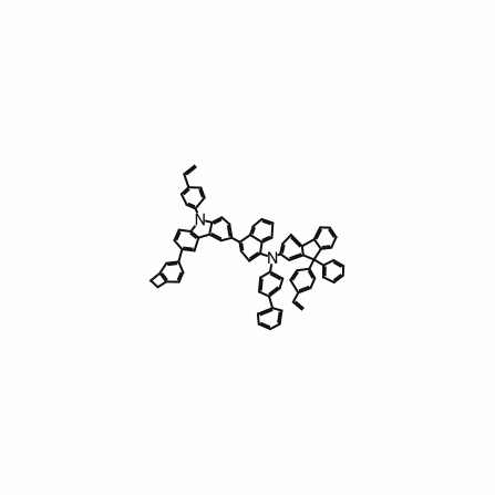 C=Cc1ccc(-n2c3ccc(-c4ccc5c(c4)CC5)cc3c3cc(-c4ccc(N(c5ccc(-c6ccccc6)cc5)c5ccc6c(c5)C(c5ccccc5)(c5ccc(C=C)cc5)c5ccccc5-6)c5ccccc45)ccc32)cc1